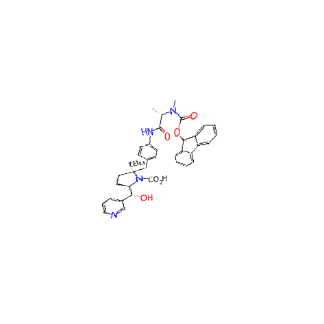 C[C@@H](C(=O)Nc1ccc(C[C@]2(C(C)(C)C)CC[C@H]([C@H](O)c3cccnc3)N2C(=O)O)cc1)N(C)C(=O)OC1c2ccccc2-c2ccccc21